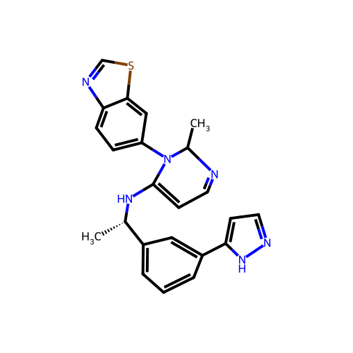 CC1N=CC=C(N[C@@H](C)c2cccc(-c3ccn[nH]3)c2)N1c1ccc2ncsc2c1